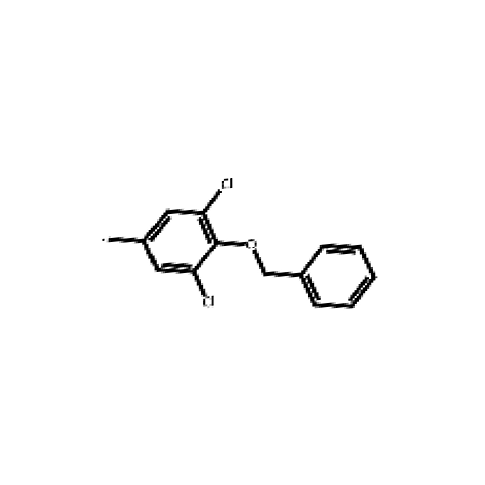 [CH2]c1cc(Cl)c(OCc2ccccc2)c(Cl)c1